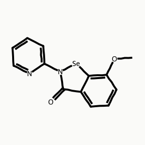 COc1cccc2c(=O)n(-c3ccccn3)[se]c12